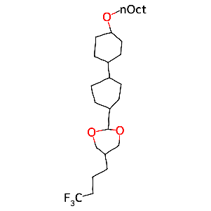 CCCCCCCCOC1CCC(C2CCC(C3OCC(CCCC(F)(F)F)CO3)CC2)CC1